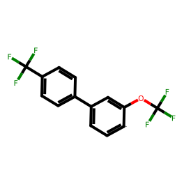 FC(F)(F)Oc1[c]ccc(-c2ccc(C(F)(F)F)cc2)c1